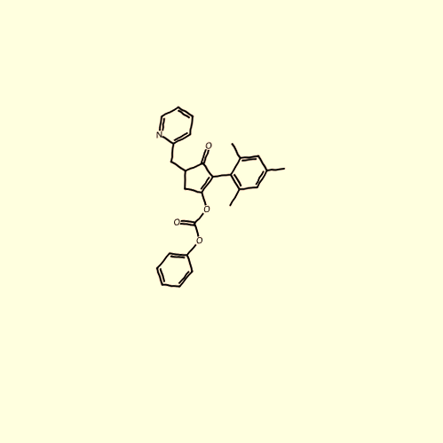 Cc1cc(C)c(C2=C(OC(=O)Oc3ccccc3)CC(Cc3ccccn3)C2=O)c(C)c1